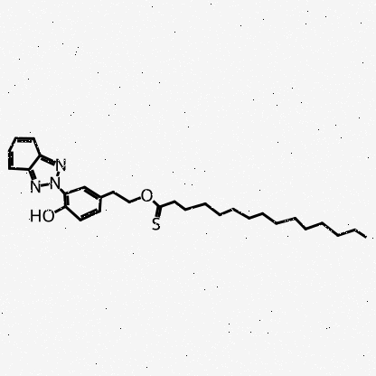 CCCCCCCCCCCCCCC(=S)OCCc1ccc(O)c(-n2nc3ccccc3n2)c1